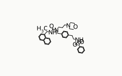 C[C@H](NC(=O)N(CCCN1CCOCC1)Cc1ccc(CCNS(=O)(=O)c2ccccc2)cc1)c1cccc2ccccc12